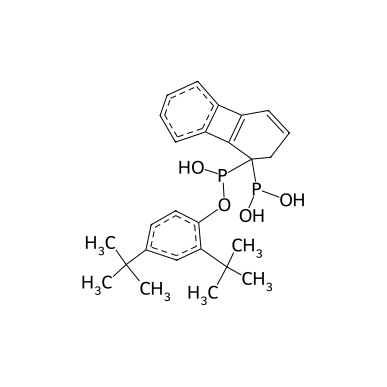 CC(C)(C)c1ccc(OP(O)C2(P(O)O)CC=CC3=C2c2ccccc23)c(C(C)(C)C)c1